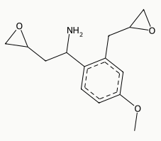 COc1ccc(C(N)CC2CO2)c(CC2CO2)c1